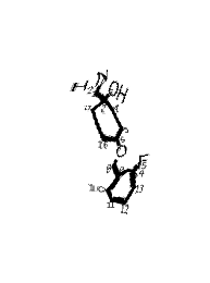 NCC1(O)CCC(OCc2ccccc2F)CC1